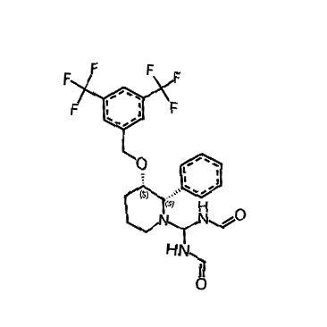 O=CNC(NC=O)N1CCC[C@H](OCc2cc(C(F)(F)F)cc(C(F)(F)F)c2)[C@@H]1c1ccccc1